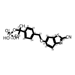 CCC(C)(OP(=O)(O)O)c1ccc(COc2ccc3nc(C#N)sc3c2)cc1